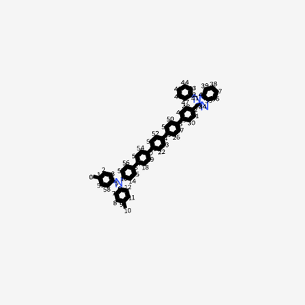 Cc1ccc(N(c2ccc(C)cc2)c2ccc(-c3ccc(-c4ccc(-c5ccc(-c6ccc(-c7nc8ccccc8n7-c7ccccc7)cc6)cc5)cc4)cc3)cc2)cc1